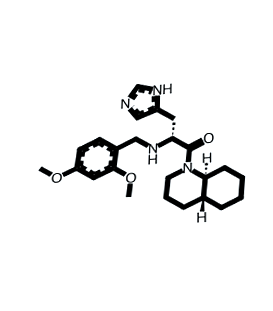 COc1ccc(CN[C@H](Cc2cnc[nH]2)C(=O)N2CCC[C@H]3CCCC[C@@H]32)c(OC)c1